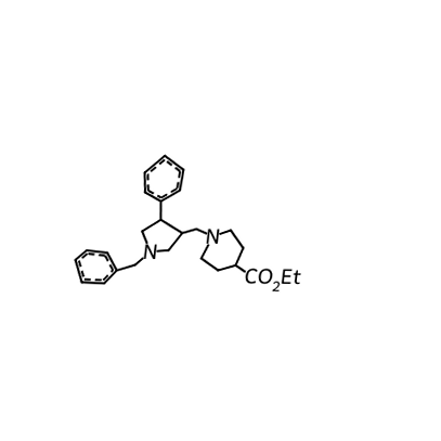 CCOC(=O)C1CCN(CC2CN(Cc3ccccc3)CC2c2ccccc2)CC1